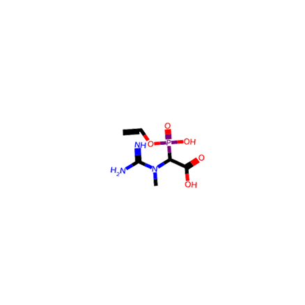 C=COP(=O)(O)C(C(=O)O)N(C)C(=N)N